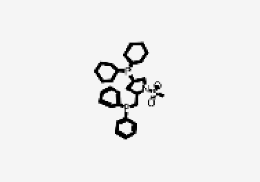 CS(=O)(=O)N1CC(P(C2CCCCC2)C2CCCCC2)CC1CP(c1ccccc1)c1ccccc1